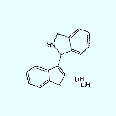 [CH]1C=C(C2NCc3ccccc32)c2ccccc21.[LiH].[LiH]